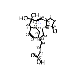 CC(O)(/C=C/[C@H]1CCC(=O)[C@@H]1CCCCCCC(=O)O)CC1C=CCCC1